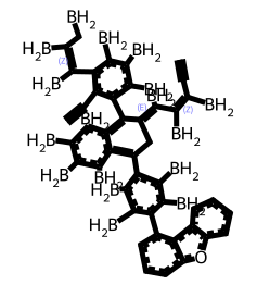 BC/C(B)=C(/B)c1c(B)c(B)c(B)c(C2=c3c(B)c(B)c(B)c(B)c3=C(c3c(B)c(B)c(-c4cccc5oc6ccccc6c45)c(B)c3B)C/C2=C(B)\C(B)=C(\B)C#C)c1C#C